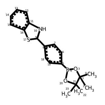 CC1(C)OB(c2ccc(C3Nc4ccccc4S3)cc2)OC1(C)C